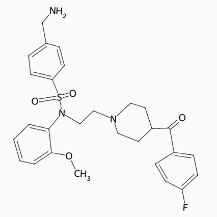 COc1ccccc1N(CCN1CCC(C(=O)c2ccc(F)cc2)CC1)S(=O)(=O)c1ccc(CN)cc1